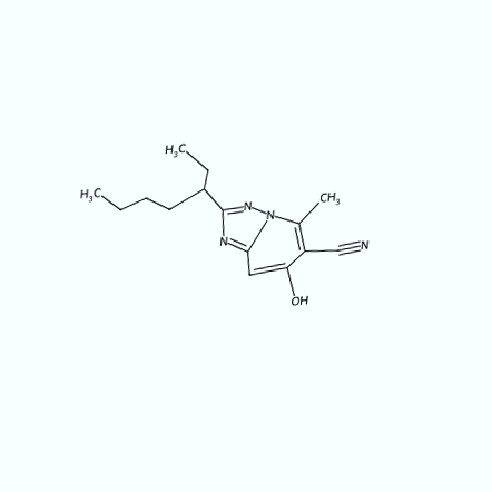 CCCCC(CC)c1nc2cc(O)c(C#N)c(C)n2n1